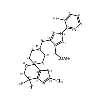 COCc1nn(-c2ncccc2F)cc1CN1CCC2(CC1)OCC(F)(F)c1cc(Cl)sc12